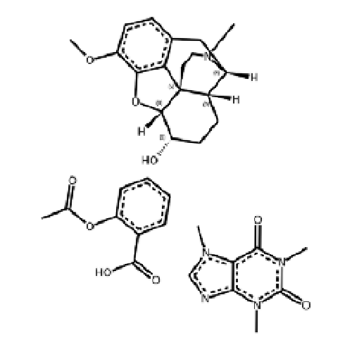 CC(=O)Oc1ccccc1C(=O)O.COc1ccc2c3c1O[C@H]1[C@@H](O)CC[C@H]4[C@@H](C2)N(C)CC[C@@]341.Cn1c(=O)c2c(ncn2C)n(C)c1=O